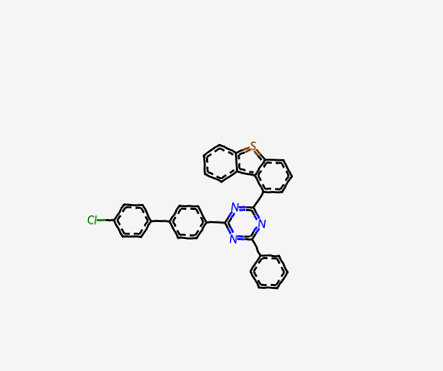 Clc1ccc(-c2ccc(-c3nc(-c4ccccc4)nc(-c4cccc5sc6ccccc6c45)n3)cc2)cc1